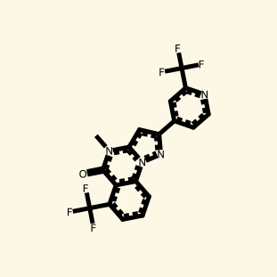 Cn1c(=O)c2c(C(F)(F)F)cccc2n2nc(-c3ccnc(C(F)(F)F)c3)cc12